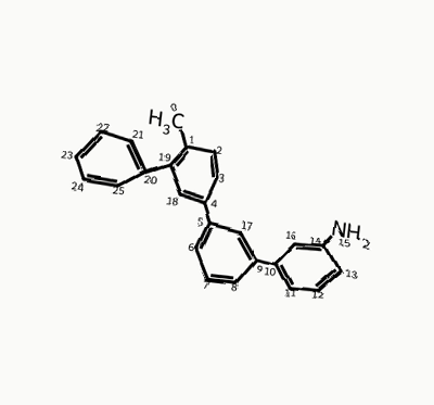 Cc1ccc(-c2cccc(-c3cccc(N)c3)c2)cc1-c1ccccc1